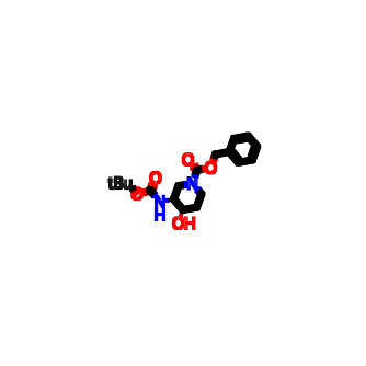 CC(C)(C)OC(=O)N[C@@H]1CN(C(=O)OCc2ccccc2)CC[C@@H]1O